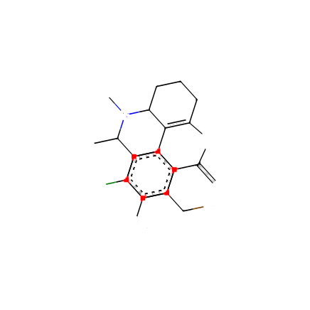 Bc1cc(C(=C)C)c(C2=C(C)CCCC2N(C)C(C)c2ccc(CS)cc2)cc1F